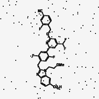 COCCn1c(Cc2cc(F)c(-c3cc(C(F)F)cc(OCc4ccc(C#N)cc4F)n3)cc2F)nc2ccc(C(=O)O)cc21